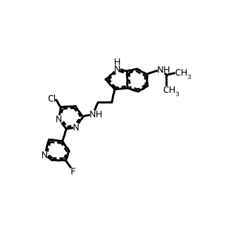 CC(C)Nc1ccc2c(CCNc3cc(Cl)nc(-c4cncc(F)c4)n3)c[nH]c2c1